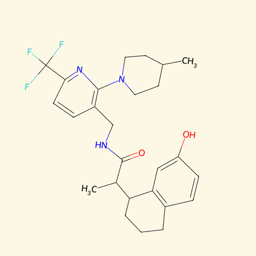 CC1CCN(c2nc(C(F)(F)F)ccc2CNC(=O)C(C)C2CCCc3ccc(O)cc32)CC1